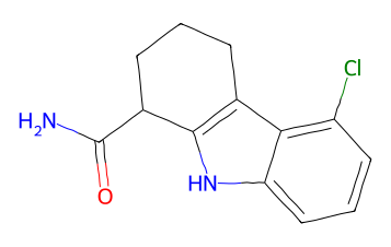 NC(=O)C1CCCc2c1[nH]c1cccc(Cl)c21